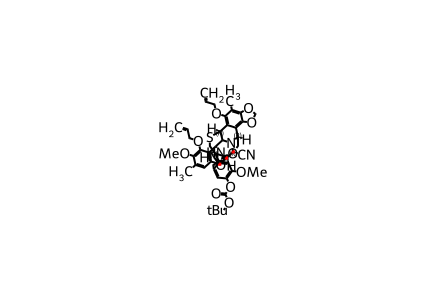 C=CCOc1c(OC)c(C)cc2c1C1N[C@H](C2)[C@H](C#N)N2C1[C@@H]1SC[C@]3(NCCc4cc(OC(=O)OC(C)(C)C)c(OC)cc43)C(=O)OC[C@H]2c2c3c(c(C)c(OCC=C)c21)OCO3